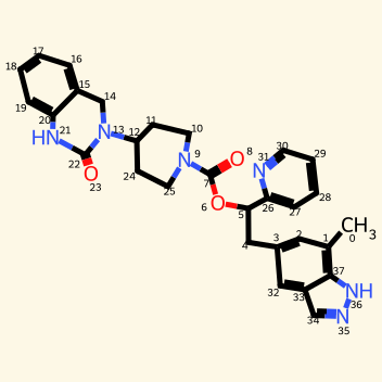 Cc1cc(CC(OC(=O)N2CCC(N3Cc4ccccc4NC3=O)CC2)c2ccccn2)cc2cn[nH]c12